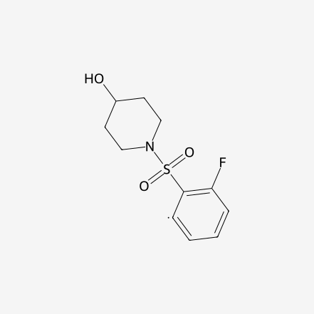 O=S(=O)(c1[c]cccc1F)N1CCC(O)CC1